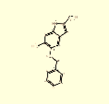 Cc1cc2[nH]c(C(=O)O)cc2cc1OCc1ccccc1